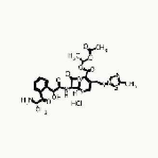 CC(=O)OC(C)OC(=O)C1=C(CSN2CN=C(C)S2)CS[C@H]2C(NC(=O)C(O)c3ccccc3C(=O)[C@H](C)N)C(=O)N12.Cl